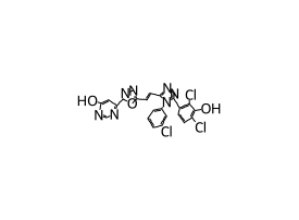 Oc1cc(-c2nnc(/C=C/c3nnc(-c4ccc(Cl)c(O)c4Cl)n3-c3cccc(Cl)c3)o2)ncn1